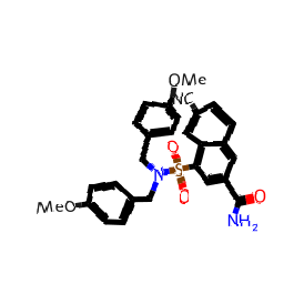 COc1ccc(CN(Cc2ccc(OC)cc2)S(=O)(=O)c2cc(C(N)=O)cc3ccc(C#N)cc23)cc1